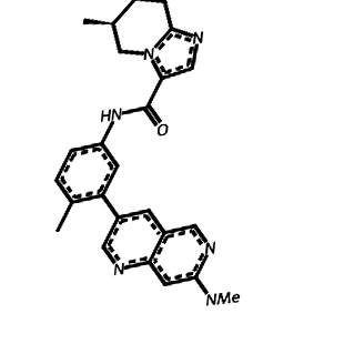 CNc1cc2ncc(-c3cc(NC(=O)c4cnc5n4C[C@@H](C)CC5)ccc3C)cc2cn1